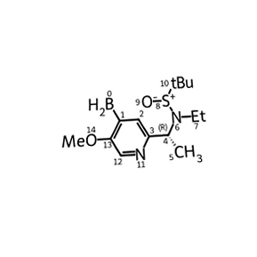 Bc1cc([C@@H](C)N(CC)[S+]([O-])C(C)(C)C)ncc1OC